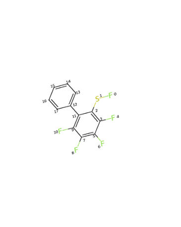 FSc1c(F)c(F)c(F)c(F)c1-c1ccccc1